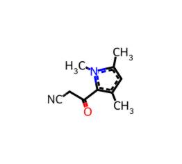 Cc1cc(C)n(C)c1C(=O)CC#N